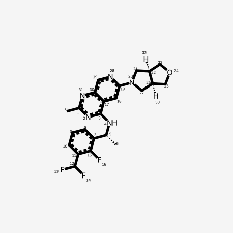 Cc1nc(N[C@H](C)c2cccc(C(F)F)c2F)c2cc(N3C[C@H]4COC[C@H]4C3)ncc2n1